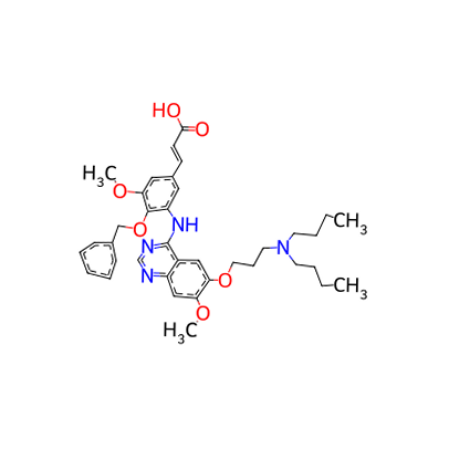 CCCCN(CCCC)CCCOc1cc2c(Nc3cc(/C=C/C(=O)O)cc(OC)c3OCc3ccccc3)ncnc2cc1OC